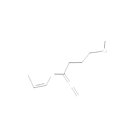 C=C=C(CCCNC)S/C=C\C